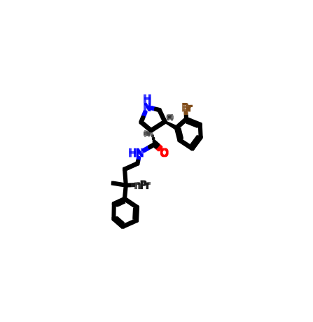 CCCC(C)(CCNC(=O)[C@@H]1CNC[C@H]1c1ccccc1Br)c1ccccc1